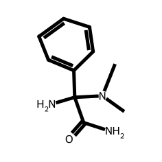 CN(C)C(N)(C(N)=O)c1ccccc1